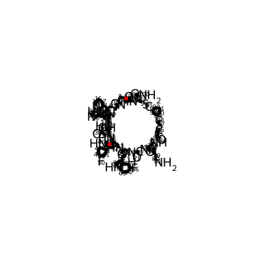 C[C@@]12CCCN1C(=O)[C@H](Cc1c[nH]c3ncccc13)NC(=O)[C@H](CCc1cnc[nH]1)NC(=O)[C@H](CC(=O)O)NC(=O)[C@H](Cc1c[nH]c3ccc(F)cc13)NC(=O)[C@H](CCc1c[nH]c3ccc(F)cc13)NC(=O)CNC(=O)[C@H](CCCCN)NC(=O)CCSCc1cccc(c1)CSC[C@@H](C(N)=O)NC2=O